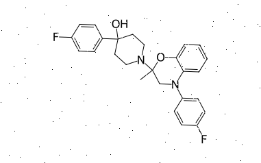 CC1(N2CCC(O)(c3ccc(F)cc3)CC2)CN(c2ccc(F)cc2)c2ccccc2O1